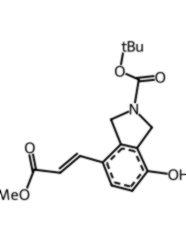 COC(=O)C=Cc1ccc(O)c2c1CN(C(=O)OC(C)(C)C)C2